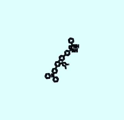 CCCC1(CCC)c2cc(-c3ccc(C(=N)OC(=N)c4ccccc4)cc3)ccc2-c2ccc(-c3ccc(N(c4ccccc4)c4ccccc4)cc3)cc21